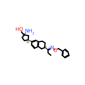 CC/C(=N\OCc1ccccc1)[C@@H]1CCc2cc([C@H]3CC[C@](N)(CO)C3)ccc2C1